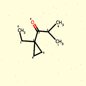 CCC1(C(=O)C(C)C)CC1